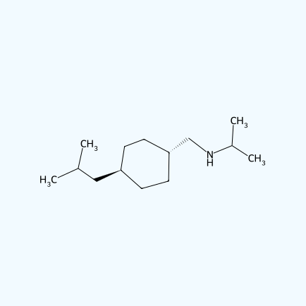 CC(C)C[C@H]1CC[C@H](CNC(C)C)CC1